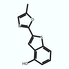 Cc1cnc(-c2cc3c(O)cccc3s2)o1